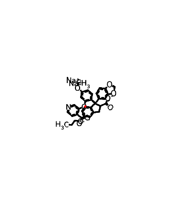 CCCOc1ccc2c(c1)CC(C(=O)[O-])C2(c1ccc2c(c1)OCO2)c1ccc(OC)cc1Oc1cnccc1C(=O)[O-].[Na+].[Na+]